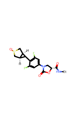 CCNC(=O)[C@H]1CN(c2cc(F)c(C3[C@H]4C[S+]([O-])C[C@@H]34)c(F)c2)C(=O)O1